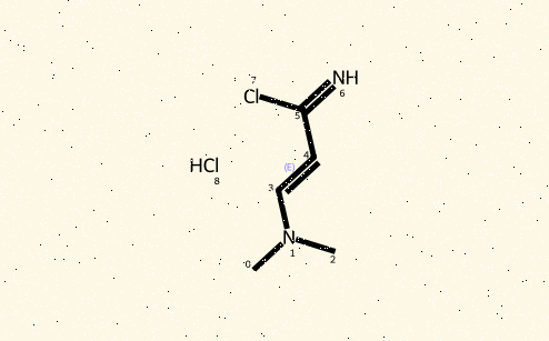 CN(C)/C=C/C(=N)Cl.Cl